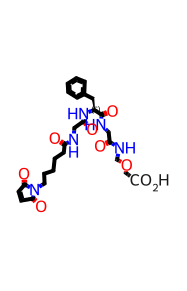 O=C(O)COCNC(=O)CNC(=O)[C@H](Cc1ccccc1)NC(=O)CNC(=O)CCCCCN1C(=O)C=CC1=O